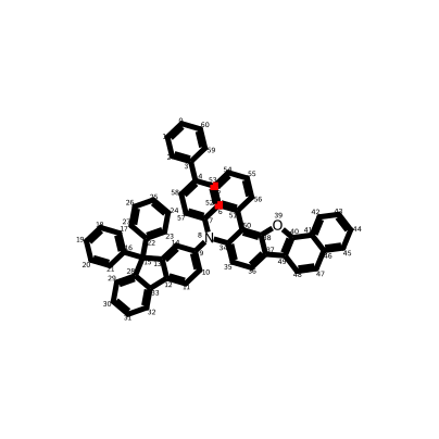 c1ccc(-c2ccc(N(c3ccc4c(c3)C(c3ccccc3)(c3ccccc3)c3ccccc3-4)c3ccc4c(oc5c6ccccc6ccc45)c3-c3ccccc3)cc2)cc1